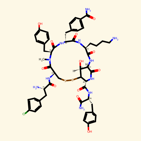 CN1C(=O)[C@H](NC(=O)[C@@H](N)Cc2ccc(Cl)cc2)CSSC2[C@@H](C(=O)N[C@H](Cc3ccc(O)cc3)C(N)=O)NC(=O)[C@@H](NC(=O)[C@H](CCCCN)NC(=O)[C@@H](Cc3ccc(C(N)=O)cc3)NC(=O)[C@@H]1Cc1ccc(O)cc1)[C@@H]2O